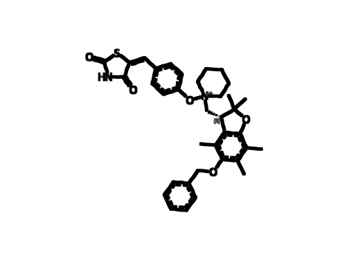 Cc1c(C)c2c(c(C)c1OCc1ccccc1)[C@H](C[N+]1(Oc3ccc(C=C4SC(=O)NC4=O)cc3)CCCCC1)C(C)(C)O2